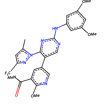 CNC(=O)c1cc(-c2cnc(Nc3cc(OC)cc(OC)c3)nc2-n2nc(C(F)(F)F)cc2C)cnc1OC